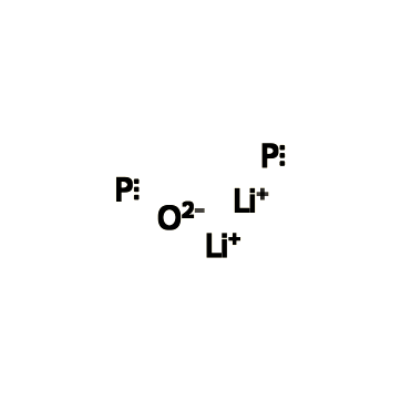 [Li+].[Li+].[O-2].[P].[P]